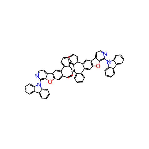 c1ccc2c(c1)-c1cc3oc4c(-n5c6ccccc6c6ccccc65)nccc4c3cc1-c1ccccc1[Si]21c2ccccc2-c2cc3oc4c(-n5c6ccccc6c6ccccc65)nccc4c3cc2-c2ccccc21